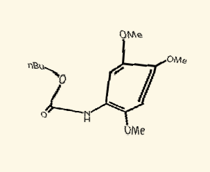 CCCCOC(=O)Nc1cc(OC)c(OC)cc1OC